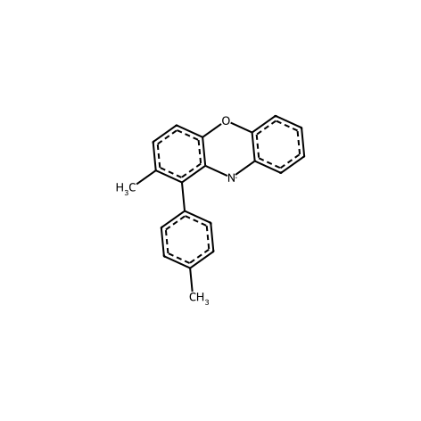 Cc1ccc(-c2c(C)ccc3c2[N]c2ccccc2O3)cc1